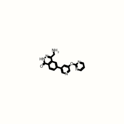 NCc1n[nH]c(=O)c2ccc(-c3cncc(Oc4ncccn4)c3)cc12